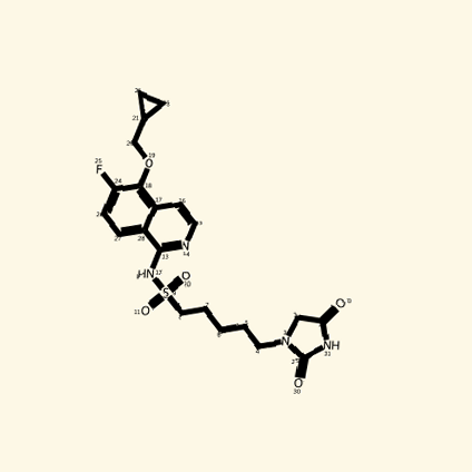 O=C1CN(CCCCCS(=O)(=O)Nc2nccc3c(OCC4CC4)c(F)ccc23)C(=O)N1